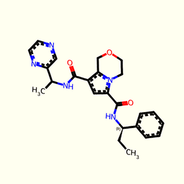 CC[C@@H](NC(=O)c1cc(C(=O)NC(C)c2cnccn2)c2n1CCOC2)c1ccccc1